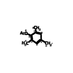 [CH2]c1cc(C)c(OC(C)=O)c(C)c1